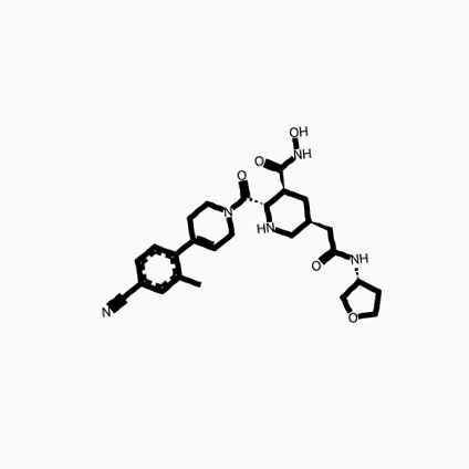 Cc1cc(C#N)ccc1C1=CCN(C(=O)[C@H]2NC[C@H](CC(=O)N[C@@H]3CCOC3)C[C@@H]2C(=O)NO)CC1